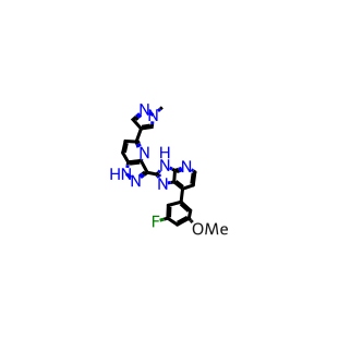 COc1cc(F)cc(-c2ccnc3[nH]c(-c4n[nH]c5ccc(-c6cnn(C)c6)nc45)nc23)c1